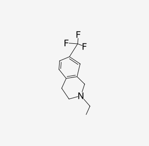 CCN1CCc2ccc(C(F)(F)F)cc2C1